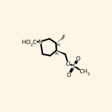 CS(=O)(=O)OC[C@H]1CCN(C(=O)O)C[C@@H]1F